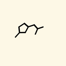 CC(C)CC1CCC(C)C1